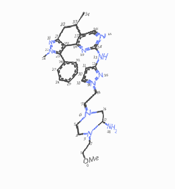 COCCN1CCN(CCn2ccc(Nc3ncc4c(n3)-c3c(nn(C)c3-c3ccccc3)C[C@H]4C)n2)CC1N